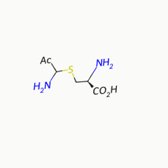 CC(=O)C(N)SC[C@@H](N)C(=O)O